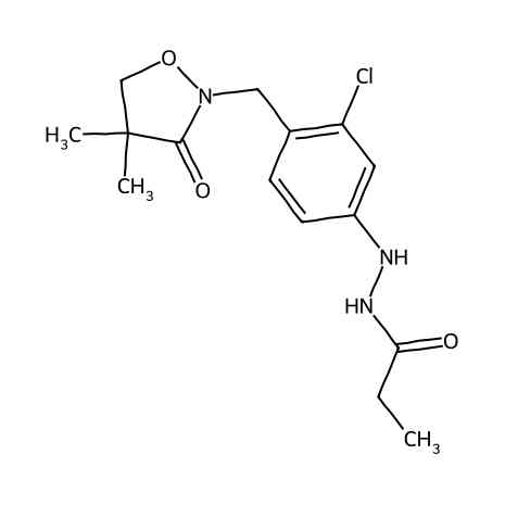 CCC(=O)NNc1ccc(CN2OCC(C)(C)C2=O)c(Cl)c1